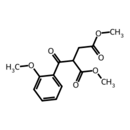 COC(=O)CC(C(=O)OC)C(=O)c1ccccc1OC